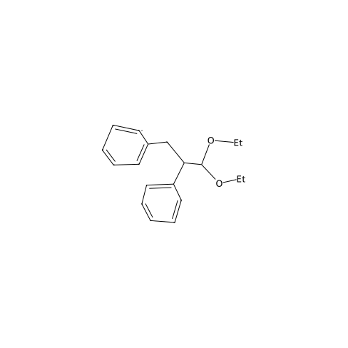 CCOC(OCC)C(Cc1[c]cccc1)c1ccccc1